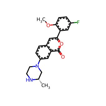 COc1ccc(F)cc1-c1cc2ccc(N3CCN[C@@H](C)C3)cc2c(=O)o1